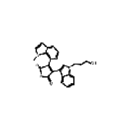 Cn1ccc2cccc(C3=C(c4cn(CCCO)c5ccccc45)C(=O)NC3=O)c21